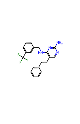 Nc1ncc(CCc2ccccc2)c(NCc2cccc(C(F)(F)F)c2)n1